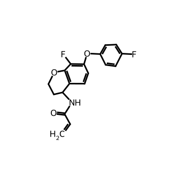 C=CC(=O)NC1CCOc2c1ccc(Oc1ccc(F)cc1)c2F